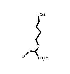 CCCCCCCCCCCCOC(OCC)C(=O)OCC